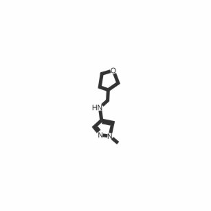 Cn1cc(NCC2CCOC2)cn1